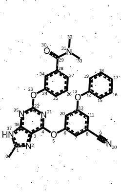 Cc1nc2c(Oc3cc(C#N)cc(Oc4ccccc4)c3)nc(Oc3cccc(C(=O)N(C)C)c3)nc2[nH]1